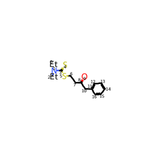 CCN(CC)C(=S)SCCC(=O)Cc1ccccc1